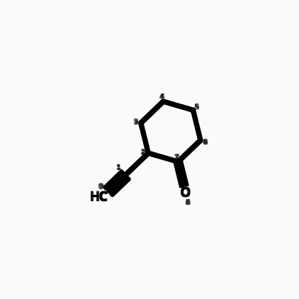 C#CC1CCCCC1=O